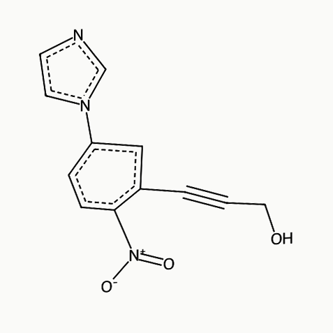 O=[N+]([O-])c1ccc(-n2ccnc2)cc1C#CCO